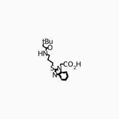 CC(C)(C)CC(=O)NCCCSc1nc2ccccc2n1CC(=O)O